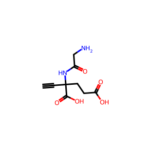 C#CC(CCC(=O)O)(NC(=O)CN)C(=O)O